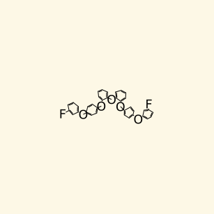 Fc1cccc(Oc2ccc(Oc3ccccc3Oc3ccccc3Oc3ccc(Oc4cccc(F)c4)cc3)cc2)c1